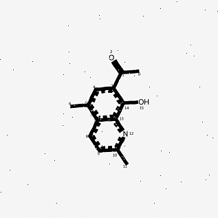 CC(=O)c1cc(C)c2ccc(C)nc2c1O